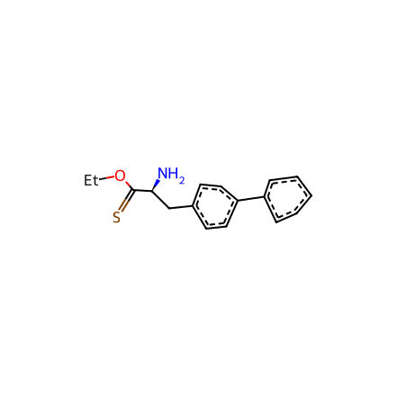 CCOC(=S)[C@@H](N)Cc1ccc(-c2ccccc2)cc1